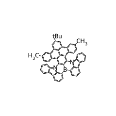 Cc1ccc2c(c1)c1cc(C(C)(C)C)cc3c4cc(C)ccc4c4c5c6c(c2c4c13)-n1c2ccccc2c2cccc(c21)B6c1cccc2c3ccccc3n-5c12